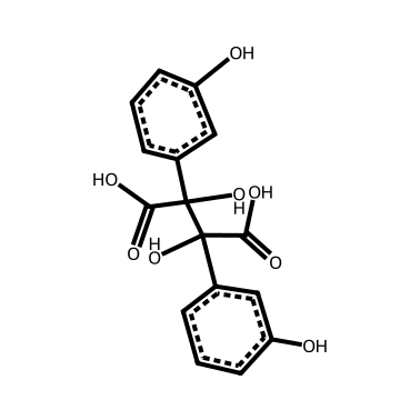 O=C(O)C(O)(c1cccc(O)c1)C(O)(C(=O)O)c1cccc(O)c1